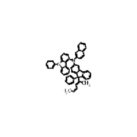 C/C=C\C=C(/C)C1(c2ccccc2)c2ccccc2-c2cc(N(c3ccc4ccccc4c3)c3cccc4c3c3ccccc3n4-c3ccccc3)ccc21